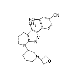 Cc1c(-c2ccc(C#N)cc2O)nnc2c1CCCN2C1CCCN(C2COC2)C1